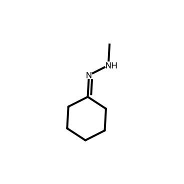 CNN=C1CCCCC1